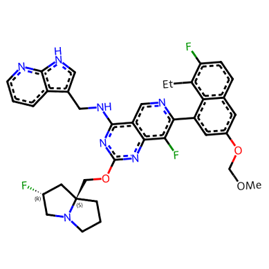 CCc1c(F)ccc2cc(OCOC)cc(-c3ncc4c(NCc5c[nH]c6ncccc56)nc(OC[C@@]56CCCN5C[C@H](F)C6)nc4c3F)c12